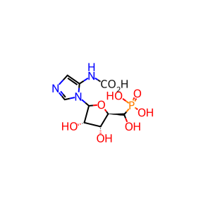 O=C(O)Nc1cncn1C1O[C@@H](C(O)P(=O)(O)O)[C@H](O)[C@@H]1O